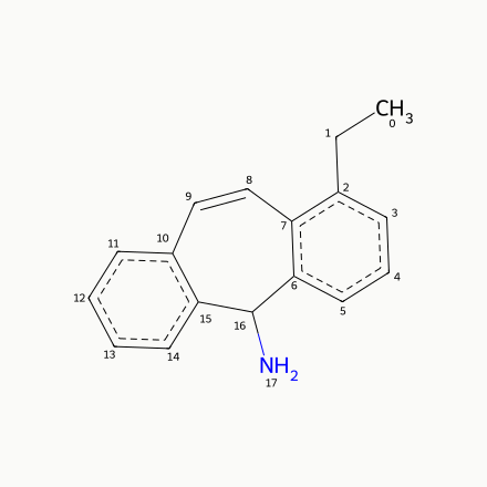 CCc1cccc2c1C=Cc1ccccc1C2N